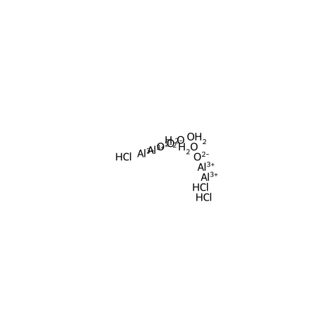 Cl.Cl.Cl.O.O.O.[Al+3].[Al+3].[Al+3].[Al+3].[O-2].[O-2].[O-2]